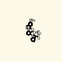 CC(C)(C)c1ccc2c(=O)n(-c3cccc(-n4cc(C(N)=O)c5ccccc54)c3CO)ncc2c1